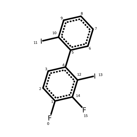 Fc1ccc(-c2ccccc2I)c(I)c1F